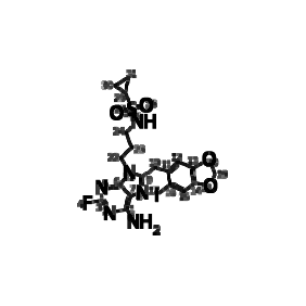 Nc1nc(F)nc2c1nc(Cc1cc3c(cc1I)OCO3)n2CCCNS(=O)(=O)C1CC1